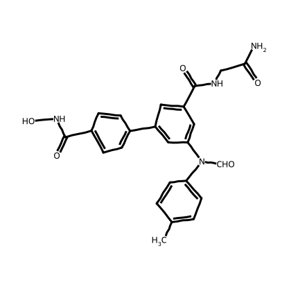 Cc1ccc(N(C=O)c2cc(C(=O)NCC(N)=O)cc(-c3ccc(C(=O)NO)cc3)c2)cc1